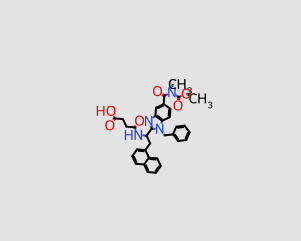 COC(=O)N(C)C(=O)c1ccc2c(c1)nc(C(Cc1cccc3ccccc13)NC(=O)CCC(=O)O)n2Cc1ccccc1